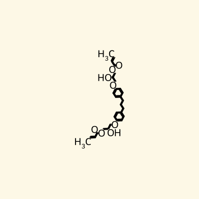 CC=CC(=O)OCC(O)COc1ccc(CCCc2ccc(OCC(O)COC(=O)C=CC)cc2)cc1